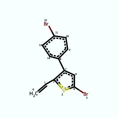 C=Cc1sc(Br)cc1-c1ccc(Br)cc1